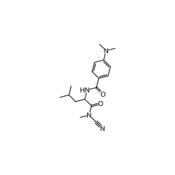 CC(C)CC(NC(=O)c1ccc(N(C)C)cc1)C(=O)N(C)C#N